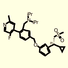 Cc1cc(-c2ccc(COc3cccc([C@H](CS(C)(=O)=O)C4CC4)c3)cc2CN(C(C)C)C(C)C)c(F)cn1